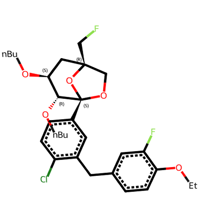 CCCCO[C@H]1C[C@]2(CF)CO[C@@](c3ccc(Cl)c(Cc4ccc(OCC)c(F)c4)c3)(O2)[C@@H]1OCCCC